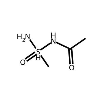 CC(=O)N[SH](C)(N)=O